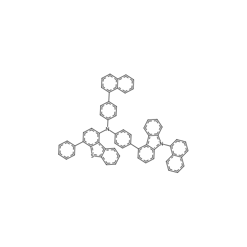 c1ccc(-c2ccc(N(c3ccc(-c4cccc5ccccc45)cc3)c3ccc(-c4cccc5c4c4ccccc4n5-c4cccc5ccccc45)cc3)c3c2sc2ccccc23)cc1